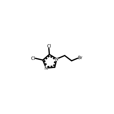 Clc1ncn(CCBr)c1Cl